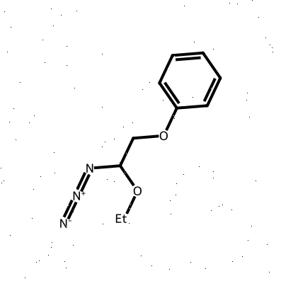 CCOC(COc1ccccc1)N=[N+]=[N-]